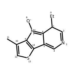 CCC1C=NC=C2C1=[N+]([O-])c1c(C)csc12